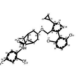 C[C@@H]1CC2C[C@H](OCc3c(-c4c(Cl)cccc4Cl)noc3C3CC3)CC1N2C(=O)Nc1ccc(C(=O)O)cc1C(F)(F)F